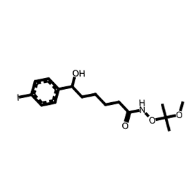 COC(C)(C)ONC(=O)CCCCC(O)c1ccc(I)cc1